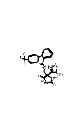 Cc1nsnc1C1(CNC(=O)c2ccccc2-c2ccc(C(F)(F)F)cc2)NC(=O)NC1=O